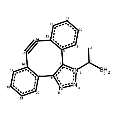 BC(C)n1nnc2c1-c1ccccc1C#Cc1ccccc1-2